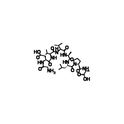 CC(C)C[C@H](NC(=O)[C@H](C)NC(=O)[C@@H](NC(=O)[C@@H](NC(=O)[C@H](CC(=O)O)NC(=O)CN)C(C)C)C(C)C)C(=O)N1CCC[C@H]1C(=O)N[C@@H](C)C(=O)O